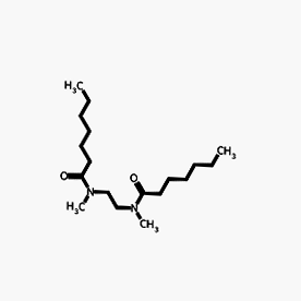 CCCCCCC(=O)N(C)CCN(C)C(=O)CCCCCC